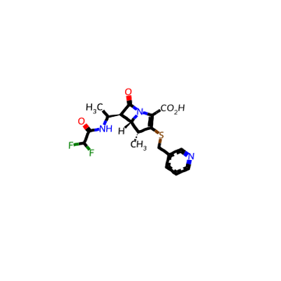 CC(NC(=O)C(F)F)[C@H]1C(=O)N2C(C(=O)O)=C(SCc3cccnc3)[C@H](C)[C@H]12